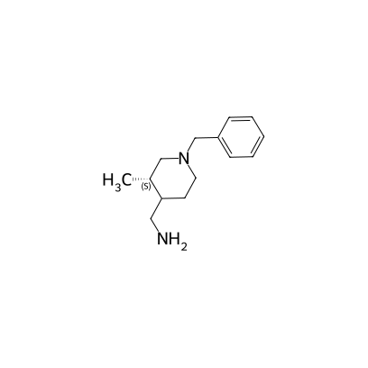 C[C@@H]1CN(Cc2ccccc2)CCC1CN